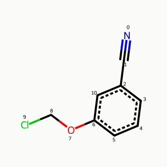 N#Cc1cccc(OCCl)c1